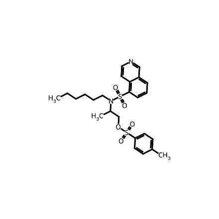 CCCCCCN(C(C)COS(=O)(=O)c1ccc(C)cc1)S(=O)(=O)c1cccc2cnccc12